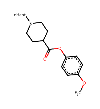 CCCCCCC[SiH]1CCC(C(=O)Oc2ccc(OC(F)(F)F)cc2)CC1